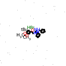 Br.CC1(C)Oc2cc(C(=O)Cn3c(=N)n(Cc4ccccc4)c4ccccc43)cc(C(C)(C)C)c2O1